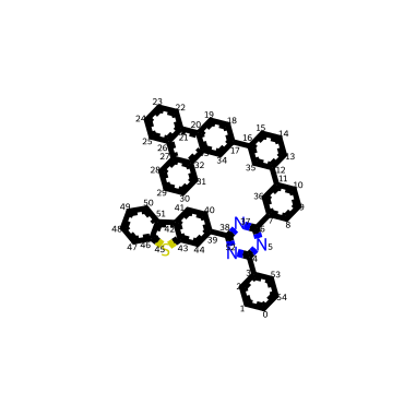 c1ccc(-c2nc(-c3cccc(-c4cccc(-c5ccc6c7ccccc7c7ccccc7c6c5)c4)c3)nc(-c3ccc4c(c3)sc3ccccc34)n2)cc1